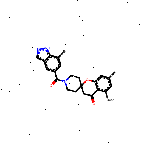 CCc1cc(C(=O)N2CCC3(CC2)CC(=O)c2c(OC)cc(C)cc2O3)cc2cn[nH]c12